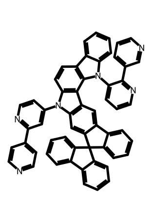 c1cncc(-c2ncccc2-n2c3ccccc3c3ccc4c(c5cc6c(cc5n4-c4ccnc(-c5ccncc5)c4)C4(c5ccccc5-c5ccccc54)c4ccccc4-6)c32)c1